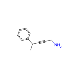 CC(C#CCN)c1ccccc1